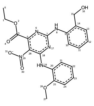 CCOC(=O)c1nc(Nc2ccccc2CO)nc(Nc2ccccc2OC)c1[N+](=O)[O-]